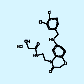 Cl.O=C(CO)NCCN1C(=O)COc2ccc(NCc3ccc(Cl)c(Cl)c3)cc21